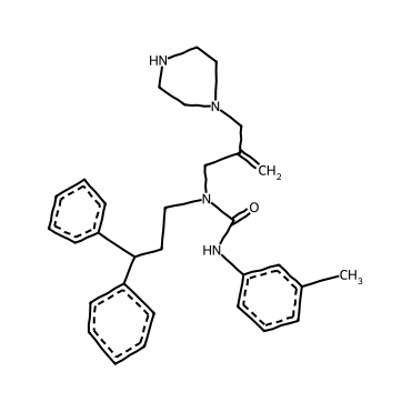 C=C(CN1CCNCC1)CN(CCC(c1ccccc1)c1ccccc1)C(=O)Nc1cccc(C)c1